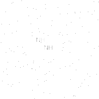 CC.N.N